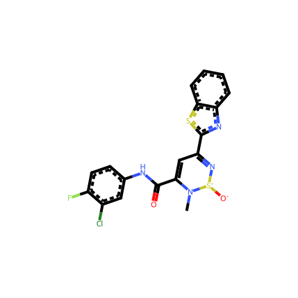 CN1C(C(=O)Nc2ccc(F)c(Cl)c2)=CC(c2nc3ccccc3s2)=N[S+]1[O-]